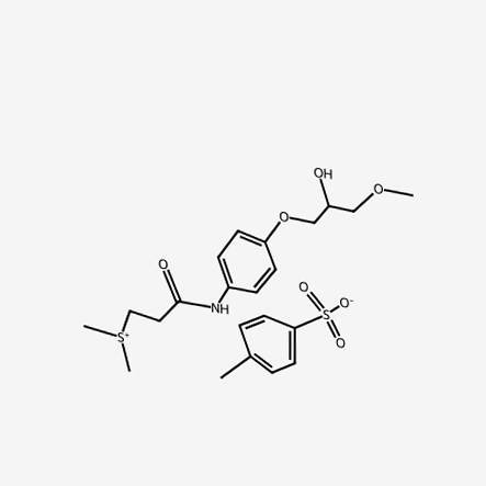 COCC(O)COc1ccc(NC(=O)CC[S+](C)C)cc1.Cc1ccc(S(=O)(=O)[O-])cc1